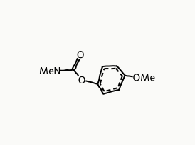 CNC(=O)Oc1ccc(OC)cc1